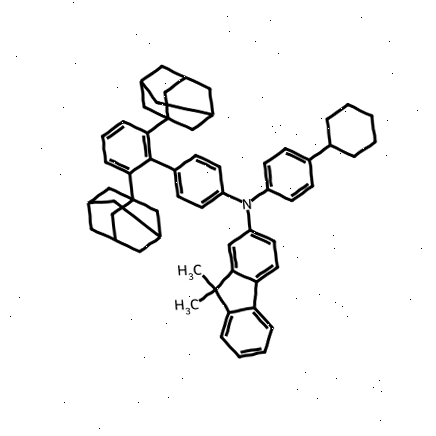 CC1(C)c2ccccc2-c2ccc(N(c3ccc(-c4c(C56CC7CC(CC(C7)C5)C6)cccc4C45CC6CC(CC(C6)C4)C5)cc3)c3ccc(C4CCCCC4)cc3)cc21